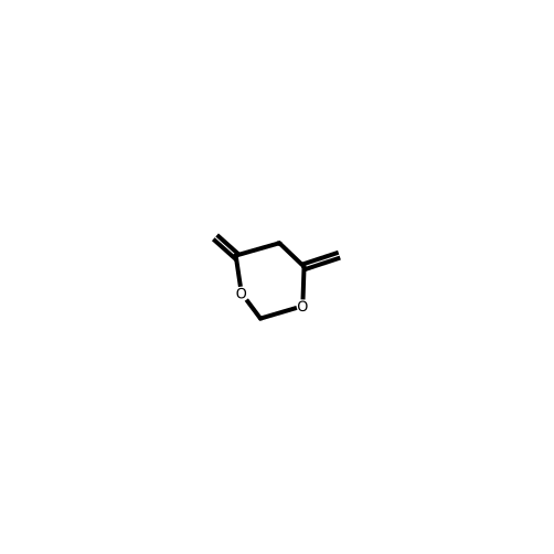 C=C1CC(=C)OCO1